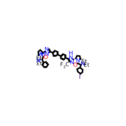 CCN(CC)[C@@H](C(=O)N1CCCC1c1ncc(-c2ccc(-c3ccc(-c4[nH]c([C@@H]5CCCN5C(=O)[C@@H](C5CCC(I)CC5)N(CC)CC)nc4C(F)(F)F)cc3)cc2)[nH]1)c1ccccc1